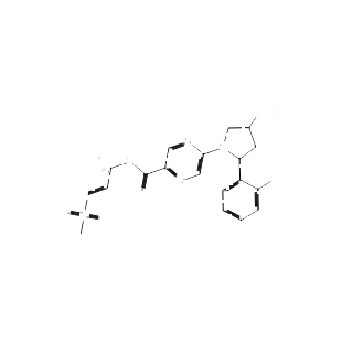 C[C@H](/C=C/S(C)(=O)=O)NC(=O)c1cnc(N2CC(O)CC2c2ccccc2Cl)cn1